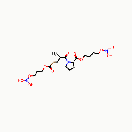 C[C@H](CSC(=O)OCCCON(O)O)C(=O)N1CCC[C@H]1C(=O)OCCCCON(O)O